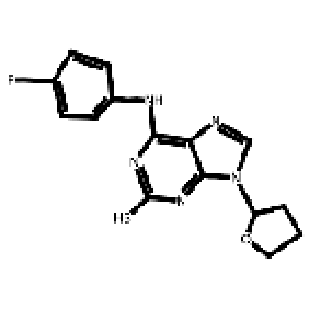 Fc1ccc(Nc2nc(S)nc3c2ncn3C2CCCO2)cc1